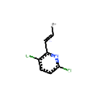 CC(C)/C=C/c1nc(Cl)ccc1Cl